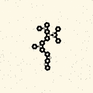 c1ccc(-c2cc(-c3ccccc3)nc(-n3c4ccc(-c5ccc6c(c5)c5cc(-c7ccc8oc9cc%10c(cc9c8c7)sc7ccccc7%10)ccc5n6-c5ccccc5)cc4c4cc5c(cc43)c3ccccc3n5-c3ccccc3)n2)cc1